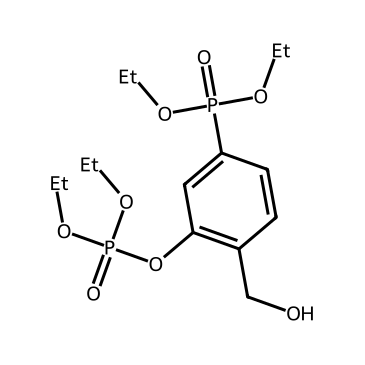 CCOP(=O)(OCC)Oc1cc(P(=O)(OCC)OCC)ccc1CO